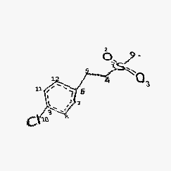 [CH2]S(=O)(=O)CCc1ccc(Cl)cc1